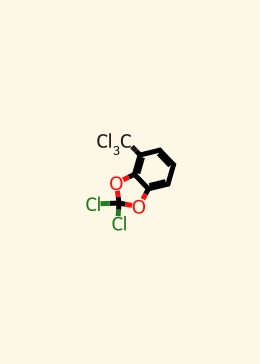 ClC1(Cl)Oc2cccc(C(Cl)(Cl)Cl)c2O1